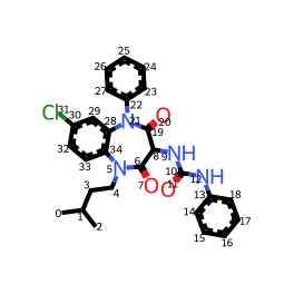 CC(C)CCN1C(=O)C(NC(=O)Nc2ccccc2)C(=O)N(c2ccccc2)c2cc(Cl)ccc21